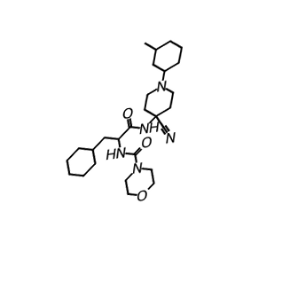 CC1CCCC(N2CCC(C#N)(NC(=O)C(CC3CCCCC3)NC(=O)N3CCOCC3)CC2)C1